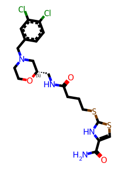 NC(=O)C1=CSC(SCCCC(=O)NC[C@H]2CN(Cc3ccc(Cl)c(Cl)c3)CCO2)N1